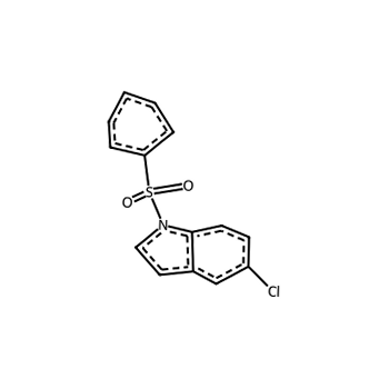 O=S(=O)(c1ccccc1)n1ccc2cc(Cl)ccc21